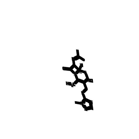 CC(C)=NC1C(=O)N2C(C(=O)O)=C(CSc3nnnn3C)CS[C@@H]12.Cl